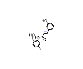 Cc1ccc(CO)c(NC(=O)/C=C/c2cccc(O)c2)c1